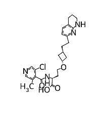 Cc1cncc(Cl)c1C(=O)N[C@@H](CCO[C@H]1C[C@H](CCc2ccc3c(n2)NCCC3)C1)C(=O)O